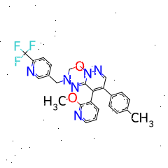 COc1ncccc1C1=C(c2ccc(C)cc2)C=NN2OCN(Cc3ccc(C(F)(F)F)nc3)N=C12